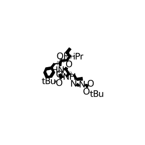 C=C[C@@H](C[C@H](O)[C@H](Cc1ccccc1)NC(=O)[C@H](Cc1cn(C(=O)OC(C)(C)C)cn1)NC(=O)OC(C)(C)C)C(C)C